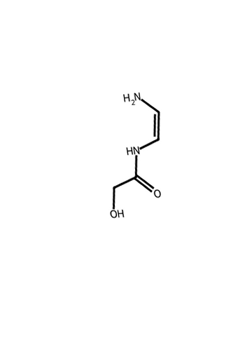 N/C=C\NC(=O)CO